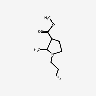 CCCN1CCC(C(=O)OC)C1C